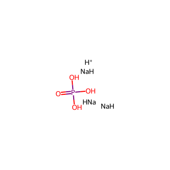 O=P(O)(O)O.[H+].[NaH].[NaH].[NaH]